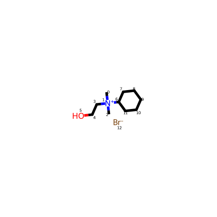 C[N+](C)(CCO)C1CCCCC1.[Br-]